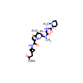 COC(=O)CC12CC(NC(=O)c3csc([C@@H](C[C@H](C(C)C)N(C)C(=O)[C@@H](NC(=O)[C@H]4CCCCN4C)C(C)C)OC(C)=O)n3)(C1)C2